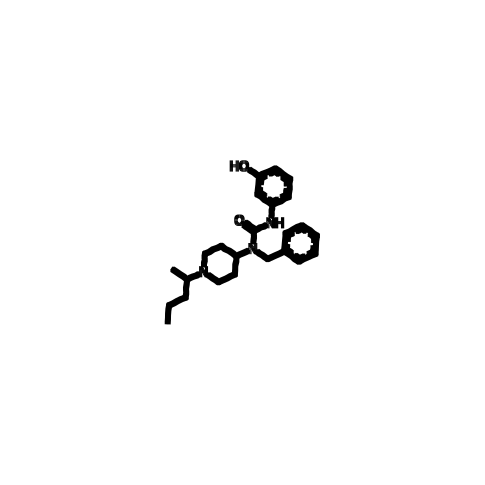 CCCC(C)N1CCC(N(Cc2ccccc2)C(=O)Nc2cccc(O)c2)CC1